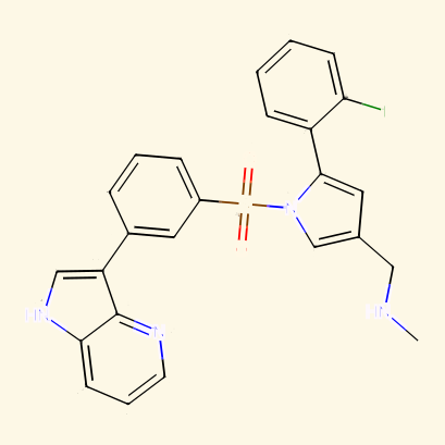 CNCc1cc(-c2ccccc2F)n(S(=O)(=O)c2cccc(-c3c[nH]c4cccnc34)c2)c1